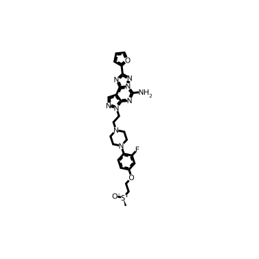 C[S@@+]([O-])CCOc1ccc(N2CCN(CCn3ncc4c3nc(N)n3nc(-c5ccco5)nc43)CC2)c(F)c1